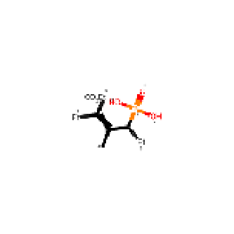 CCOC(=O)C(CC)=C(C)C(CC)P(=O)(O)O